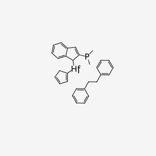 CP(C)C1=Cc2ccccc2[CH]1[Hf][C]1=CC=CC1.c1ccc(CCc2ccccc2)cc1